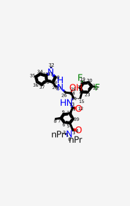 CCCN(CCC)C(=O)c1cc(C)cc(C(=O)N[C@@H](Cc2cc(F)cc(F)c2)[C@H](O)CNCc2cn(C)c3ccccc23)c1